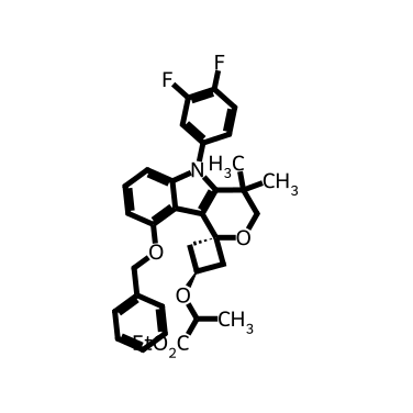 CCOC(=O)C(C)O[C@H]1C[C@@]2(C1)OCC(C)(C)c1c2c2c(OCc3ccccc3)cccc2n1-c1ccc(F)c(F)c1